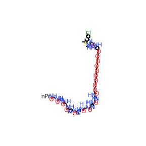 CCCNC(=O)CCNC(=O)c1nc(NC(=O)CCNC(=O)c2cc(NC(=O)c3nc(NC(=O)CCNC(=O)c4cc(NC(=O)c5nc(NC(=O)COCCOCCOCCOCCOCCOCCOCCOCCOc6ccc(NC(=O)C[C@@H]7N=C(c8ccc(Cl)cc8)c8c(sc(C)c8C)N(C(C)=N)C7=N)cc6)cn5C)cn4C)cn3C)cn2C)cn1C